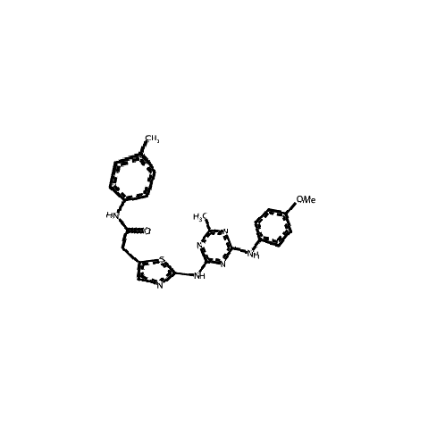 COc1ccc(Nc2nc(C)nc(Nc3ncc(CC(=O)Nc4ccc(C)cc4)s3)n2)cc1